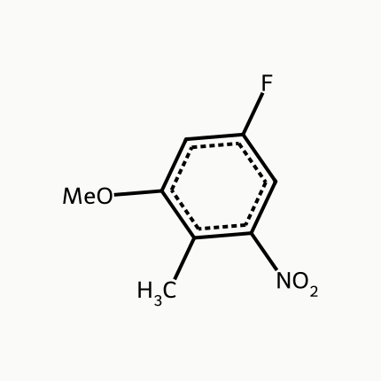 COc1cc(F)cc([N+](=O)[O-])c1C